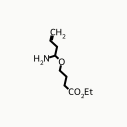 C=CCC(N)OCCCC(=O)OCC